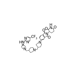 O=C1CCC(N2C(=O)c3ccc(N4CCC(CN5CCC(CN6CC[C@@H](Nc7ncc(C(F)(F)F)cn7)C6)CC5)CC4)cc3C2=O)C(=O)N1